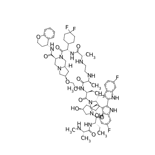 CCO[C@@H]1C[C@@H]2CN(C(=O)[C@@H](NC(=O)[C@H](C)NCCN[C@@H](C)C(=O)N[C@@H](CC)C(=O)N3C[C@@H](O)C[C@H]3Cc3c(-c4[nH]c5cc(F)ccc5c4C[C@@H]4C[C@H](O)CN4C(=O)[C@H](CC)NC(=O)[C@H](C)NC)[nH]c4cc(F)ccc34)C3CCC(F)(F)CC3)[C@H](C(=O)N[C@@H]3CCOc4ccccc43)CN2C1